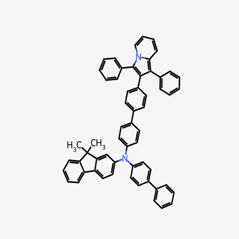 CC1(C)c2ccccc2-c2ccc(N(c3ccc(-c4ccccc4)cc3)c3ccc(-c4ccc(-c5c(-c6ccccc6)c6ccccn6c5-c5ccccc5)cc4)cc3)cc21